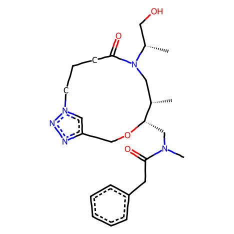 C[C@H]1CN([C@@H](C)CO)C(=O)CCCn2cc(nn2)CO[C@H]1CN(C)C(=O)Cc1ccccc1